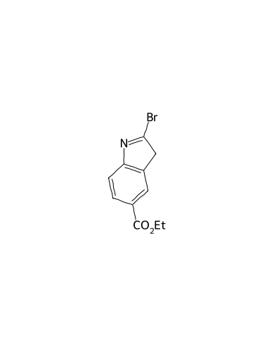 CCOC(=O)c1ccc2c(c1)CC(Br)=N2